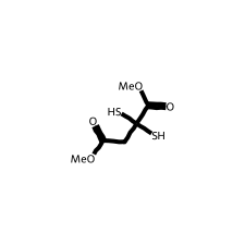 COC(=O)CC(S)(S)C(=O)OC